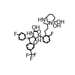 O=C(O)N[C@H](C(=O)Nc1cccc(F)c1CCC1CNC2CCCS(O)(O)N1C2)[C@@H](c1ccc(F)cc1)c1ccc(C(F)(F)F)cc1